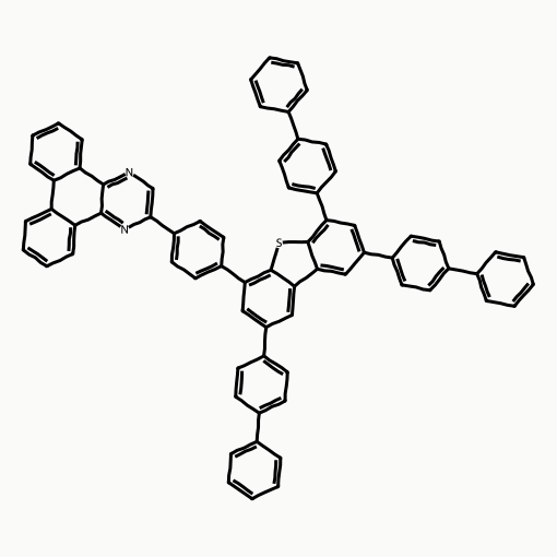 c1ccc(-c2ccc(-c3cc(-c4ccc(-c5ccccc5)cc4)c4sc5c(-c6ccc(-c7cnc8c9ccccc9c9ccccc9c8n7)cc6)cc(-c6ccc(-c7ccccc7)cc6)cc5c4c3)cc2)cc1